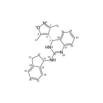 Cc1noc(C)c1[C@H]1NC(NC2CCc3ccccc32)=Nc2ccccc21